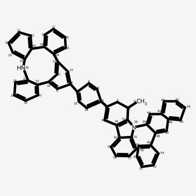 CC1CC(c2ccc(-c3cc4cc(c3)-c3ccccc3-c3ccccc3Nc3ccccc3-4)cc2)=Cc2c1n(-c1cc3ccccc3cc1-c1ccccc1)c1ccccc21